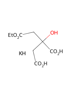 CCOC(=O)CC(O)(CC(=O)O)C(=O)O.[KH]